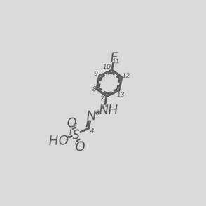 O=S(=O)(O)C=NNc1ccc(F)cc1